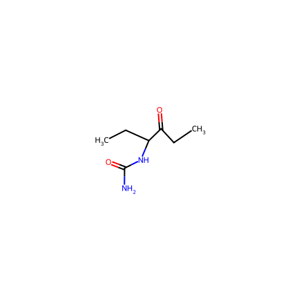 CCC(=O)C(CC)NC(N)=O